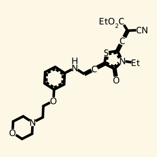 CCOC(=O)C(=C=c1sc(=C=CNc2cccc(OCCN3CCOCC3)c2)c(=O)n1CC)C#N